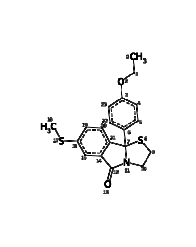 CCOc1ccc(C23SCCN2C(=O)c2cc(SC)ccc23)cc1